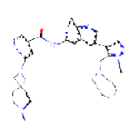 CN1CCC2(CC1)CN(c1cc(C(=O)Nc3cc4cc(-c5cnn(C)c5CN5CCCCC5)cnc4cn3)ccn1)C2